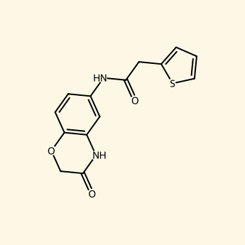 O=C(Cc1cccs1)Nc1ccc2c(c1)NC(=O)CO2